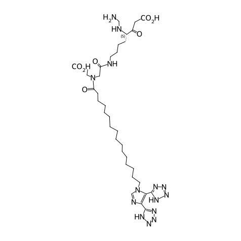 NCN[C@@H](CCCCNC(=O)CN(CC(=O)O)C(=O)CCCCCCCCCCCCCCCn1cnc(-c2nnn[nH]2)c1-c1nnn[nH]1)C(=O)CC(=O)O